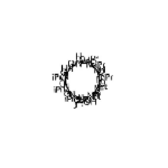 C/C=C/C[C@@H](C)[C@H](O)[C@@H]1C(=O)N[C@H](CC)C(=O)N(C)[C@H](CC)C(=O)N(C)[C@@H](CC(C)C)C(=O)N[C@H](C(C)C)C(=O)N(C)[C@H](CC(C)C)C(=O)N[C@H](C)C(=O)N[C@@H](C)C(=O)N(C)[C@H](CC(C)C)C(=O)N(C)[C@H](CC(C)C)C(=O)N(C)[C@H](C(C)C)C(=O)N1C